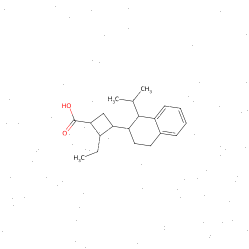 CCC1C(C(=O)O)CC1C1CCc2ccccc2C1C(C)C